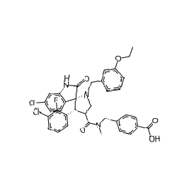 CCOc1cccc(CN2CC(C(=O)N(C)Cc3ccc(C(=O)O)cc3)[C@H](c3cccc(Cl)c3F)[C@@]23C(=O)Nc2cc(Cl)ccc23)c1